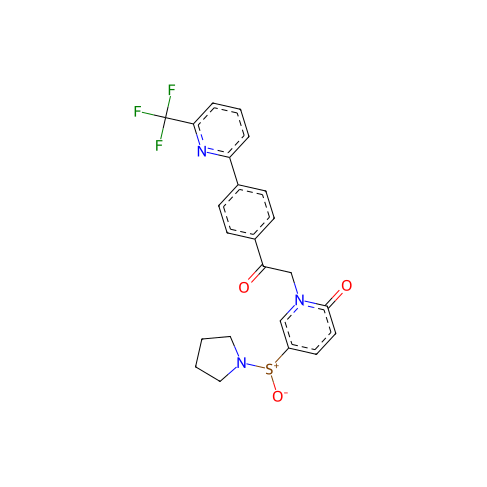 O=C(Cn1cc([S+]([O-])N2CCCC2)ccc1=O)c1ccc(-c2cccc(C(F)(F)F)n2)cc1